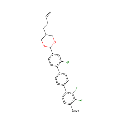 C=CCCC1COC(c2ccc(-c3ccc(-c4ccc(CCCCCCCC)c(F)c4F)cc3)c(F)c2)OC1